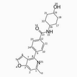 Cc1cc2occc2c(-c2ccc(C(=O)NC3CCC(O)CC3)cc2)n1